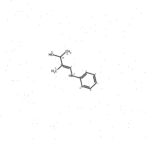 C/C(=C\Nc1ccccn1)C(C)O